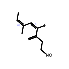 C=C(CCN=O)/C(F)=C\C(C)=C/C